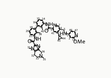 COc1cc(NCc2cnc(C(=O)Nc3cccc(-c4cccc(NC(=O)c5nc6c(n5C)CCN(C)C6)c4C)c3C)cc2C2CC2)ccn1